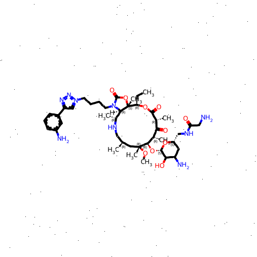 CC[C@H]1OC(=O)[C@H](C)C(=O)[C@H](C)[C@@H](O[C@@H]2O[C@H](CNC(=O)CN)CC(N)C2O)[C@](C)(OC)C[C@@H](C)CN[C@H](C)[C@H]2N(CCCCn3cc(-c4cccc(N)c4)nn3)C(=O)O[C@]12C